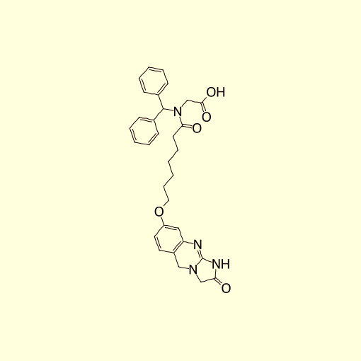 O=C(O)CN(C(=O)CCCCCCOc1ccc2c(c1)N=C1NC(=O)CN1C2)C(c1ccccc1)c1ccccc1